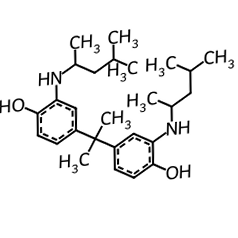 CC(C)CC(C)Nc1cc(C(C)(C)c2ccc(O)c(NC(C)CC(C)C)c2)ccc1O